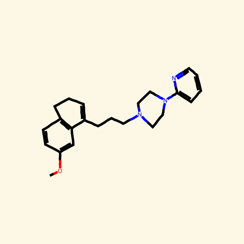 COc1ccc2c(c1)C(CCCN1CCN(c3ccccn3)CC1)=CCC2